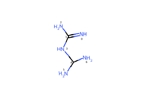 N=C(N)NC(N)N